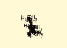 CC(C)CC(NC(=O)C(Cc1ccccc1)NC(=O)OC(C)(C)C)C(=O)NC(CCCCNC(=O)OC(C)(C)C)C(=O)O